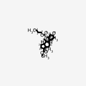 CCCCOC(=O)N1C[C@@H]2[C@@H](CC[C@]3(C)C(C(=O)OC)CC[C@@H]23)[C@@]2(C)C=CC(=O)C=C12